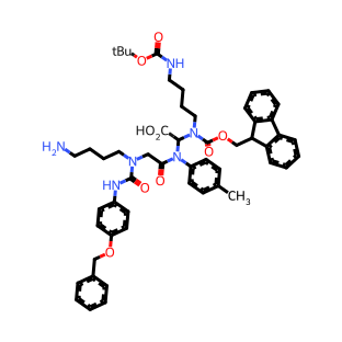 Cc1ccc(N(C(=O)CN(CCCCN)C(=O)Nc2ccc(OCc3ccccc3)cc2)C(C(=O)O)N(CCCCNC(=O)OC(C)(C)C)C(=O)OCC2c3ccccc3-c3ccccc32)cc1